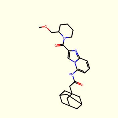 COCC1CCCCN1C(=O)c1cn2c(NC(=O)CC34CC5CC(CC(C5)C3)C4)cccc2n1